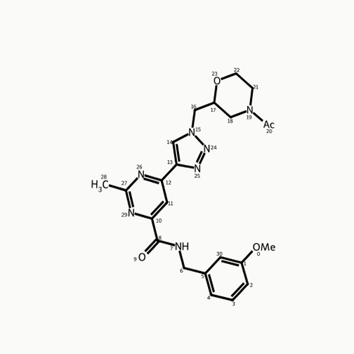 COc1cccc(CNC(=O)c2cc(-c3cn(CC4CN(C(C)=O)CCO4)nn3)nc(C)n2)c1